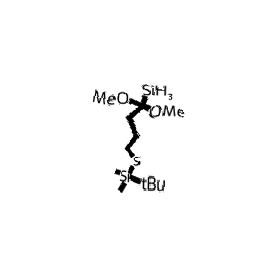 COC([SiH3])(CCCS[Si](C)(C)C(C)(C)C)OC